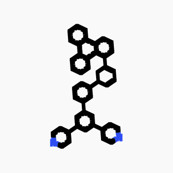 C1=CC(c2cccc(-c3cc(-c4ccncc4)cc(-c4ccncc4)c3)c2)CC(c2cccc3c4ccccc4c4ccccc4c23)=C1